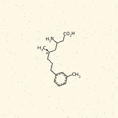 Cc1cccc(CCC[C@@H](C)CC(N)CC(=O)O)c1